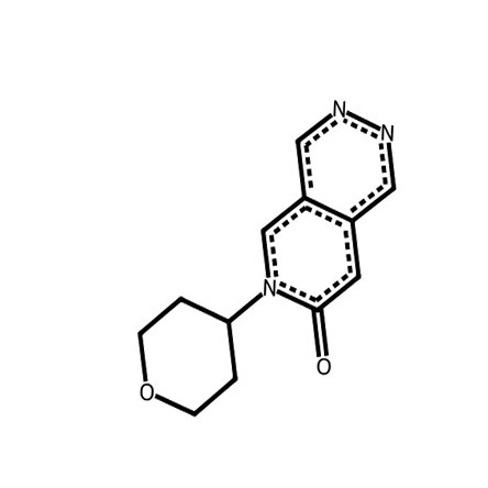 O=c1cc2cnncc2cn1C1CCOCC1